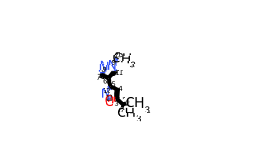 CC(C)c1cc(-c2cnn(C)c2)no1